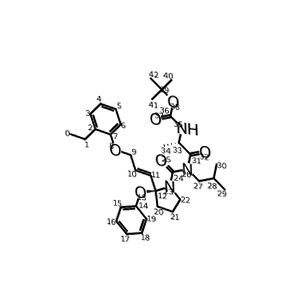 CCc1ccccc1OC/C=C/[C@@]1(Oc2ccccc2)CCCN1C(=O)N(CC(C)C)C(=O)[C@H](C)NC(=O)OC(C)(C)C